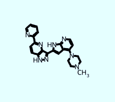 CN1CCN(c2ccnc3[nH]c(-c4n[nH]c5ccc(-c6ccccn6)nc45)cc23)CC1